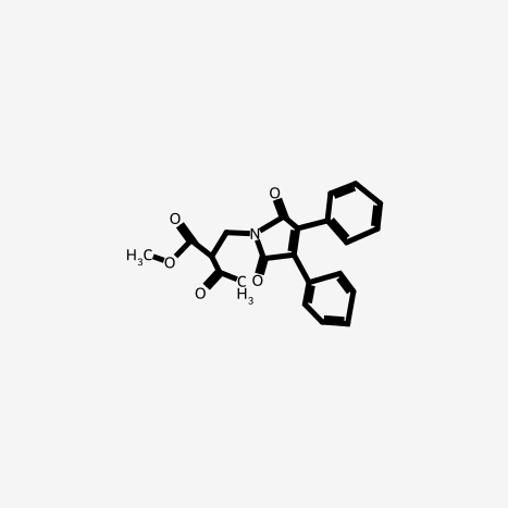 COC(=O)C(CN1C(=O)C(c2ccccc2)=C(c2ccccc2)C1=O)C(C)=O